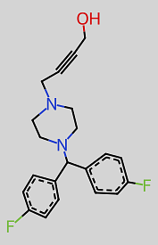 OCC#CCN1CCN(C(c2ccc(F)cc2)c2ccc(F)cc2)CC1